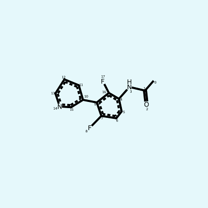 CC(=O)Nc1ccc(F)c(-c2cccnc2)c1F